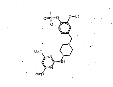 CCOc1cc(CN2CCC(Nc3nc(OC)cc(OC)n3)CC2)ccc1OS(C)(=O)=O